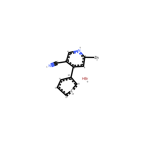 Br.N#Cc1cn[c]([Zn])cc1-c1ccccc1